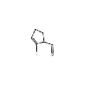 O=CC1CCC=C1I